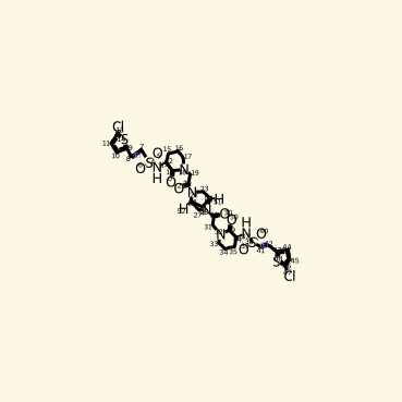 O=C1[C@@H](NS(=O)(=O)/C=C/c2ccc(Cl)s2)CCCN1CC(=O)N1C[C@H]2C[C@@H]1CN2C(=O)CN1CCC[C@H](NS(=O)(=O)/C=C/c2ccc(Cl)s2)C1=O